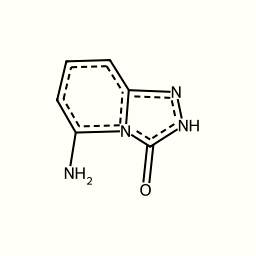 Nc1cccc2n[nH]c(=O)n12